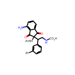 CC(=O)NC1(C(CNC(=O)O)c2cccc(C(C)C)c2)C(=O)c2cccc(N)c2C1=O